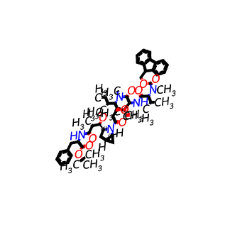 CCC(C)C(C(CC(=O)N1[C@H](C(OC)C(C)C(=O)NC(Cc2ccccc2)C(=O)OC(C)(C)C)C[C@@H]2C[C@@H]21)OC)N(C)C(=O)C(NC(=O)C(C(C)C)N(C)C(=O)OCC1c2ccccc2-c2ccccc21)C(C)C